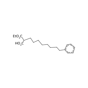 CCOC(=O)C(CCCCCCCCc1ccccc1)C(=O)O